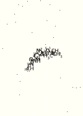 C[Si](C)(C)c1ccc(-c2cnc3ccc(NC(=O)NCC4CC4)nc3n2)o1